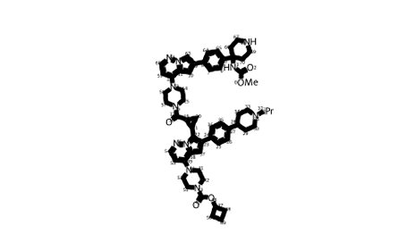 COC(=O)NC1(c2ccc(-c3cc4c(N5CCN(C(=O)C6CC6c6c(-c7ccc(C8CCN(C(C)C)CC8)cc7)cc7c(N8CCN(C(=O)OC9CCC9)CC8)ccnn67)CC5)ccnn4c3)cc2)CCNCC1